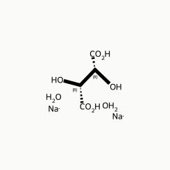 O.O.O=C(O)[C@H](O)[C@@H](O)C(=O)O.[Na].[Na]